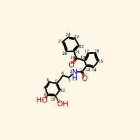 O=C(NCCc1ccc(O)c(O)c1)c1ccccc1C(=O)c1ccccc1